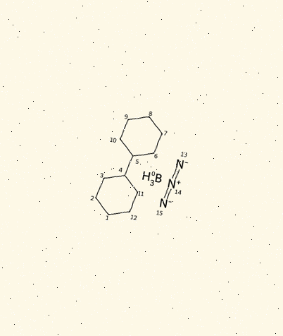 B.C1CCC(C2CCCCC2)CC1.[N-]=[N+]=[N-]